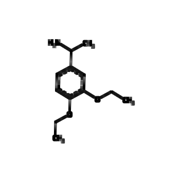 CCOc1ccc(C(C)N)cc1OCC